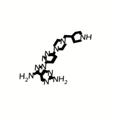 Nc1ncc2c(N)nn(-c3ccc(N4CCN(CC5CCNCC5)CC4)nn3)c2n1